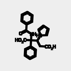 O=C(O)CC([SH]1C=CC=C1)C(NC(=O)c1ccccc1)(C(=O)O)c1ccccc1